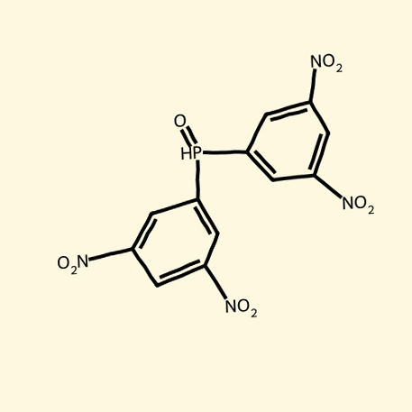 O=[N+]([O-])c1cc([N+](=O)[O-])cc([PH](=O)c2cc([N+](=O)[O-])cc([N+](=O)[O-])c2)c1